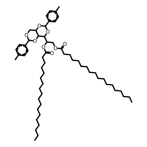 CCCCCCCCCCCCCCCCCC(=O)OCC(OC(=O)CCCCCCCCCCCCCCCCC)C1OC(c2ccc(C)cc2)OC2COC(c3ccc(C)cc3)OC21